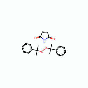 CC(C)(OOC(C)(C)c1ccccc1)c1ccccc1.O=C1C=CC(=O)N1